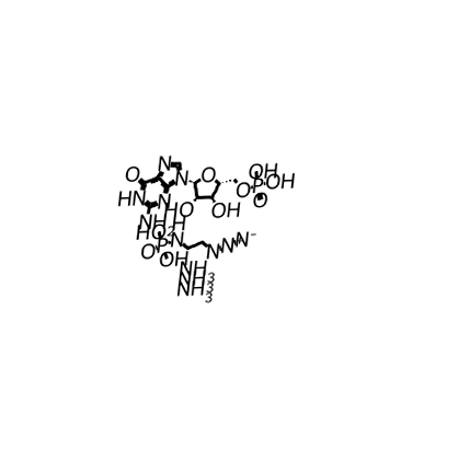 N.N.N.Nc1nc2c(ncn2[C@@H]2O[C@H](COP(=O)(O)O)[C@@H](O)[C@H]2O)c(=O)[nH]1.[N-]=[N+]=NCCNP(=O)(O)O